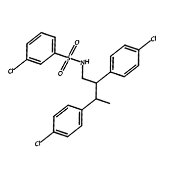 CC(c1ccc(Cl)cc1)C(CNS(=O)(=O)c1cccc(Cl)c1)c1ccc(Cl)cc1